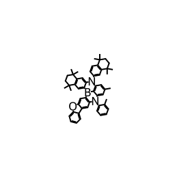 Cc1cc2c3c(c1)N(c1ccccc1C)c1cc4c(cc1B3c1cc3c(cc1N2c1ccc2c(c1)C(C)(C)CCC2(C)C)C(C)(C)CCC3(C)C)oc1ccccc14